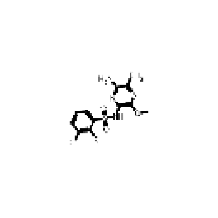 Bc1nc(OC)c(NS(=O)(=O)c2cccc(Cl)c2Cl)nc1N